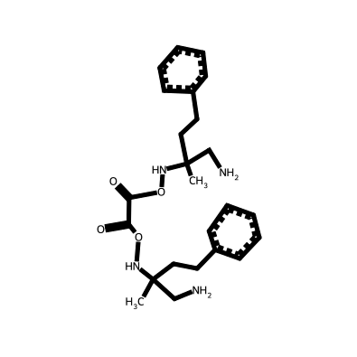 CC(CN)(CCc1ccccc1)NOC(=O)C(=O)ONC(C)(CN)CCc1ccccc1